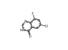 O=c1[nH]cnc2c(F)cc(Cl)cc12